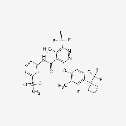 Cc1c(Oc2nnc(C(F)(F)F)c(C)c2C(=O)Nc2cccc(S(C)(=O)=O)c2)ccc(C2(C(F)(F)F)CCC2)c1F